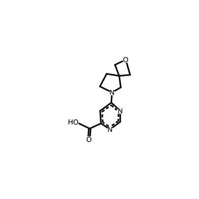 O=C(O)c1cc(N2CCC3(COC3)C2)ncn1